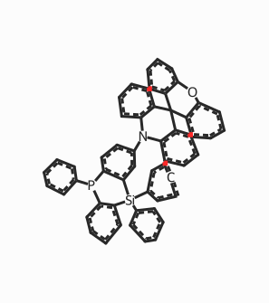 c1ccc(P2c3ccccc3[Si](c3ccccc3)(c3ccccc3)c3cc(N4c5ccccc5C5(c6ccccc6Oc6ccccc65)c5ccccc54)ccc32)cc1